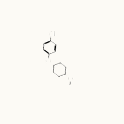 CO[C@H]1CC[C@H](Oc2ccc(Cl)cc2)CC1